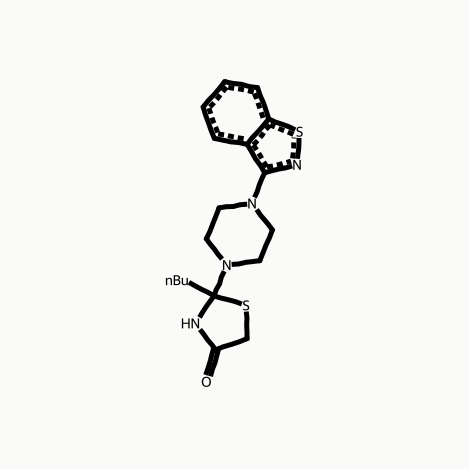 CCCCC1(N2CCN(c3nsc4ccccc34)CC2)NC(=O)CS1